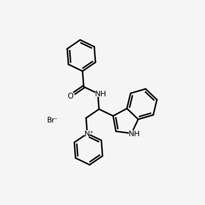 O=C(NC(C[n+]1ccccc1)c1c[nH]c2ccccc12)c1ccccc1.[Br-]